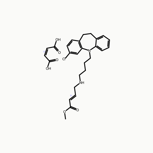 COC(=O)/C=C/CNCCCCN1c2ccccc2CCc2ccc(Cl)cc21.O=C(O)/C=C\C(=O)O